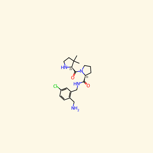 CC1(C)CCN[C@@H]1C(=O)N1CCC[C@H]1C(=O)NCc1cc(Cl)ccc1CN